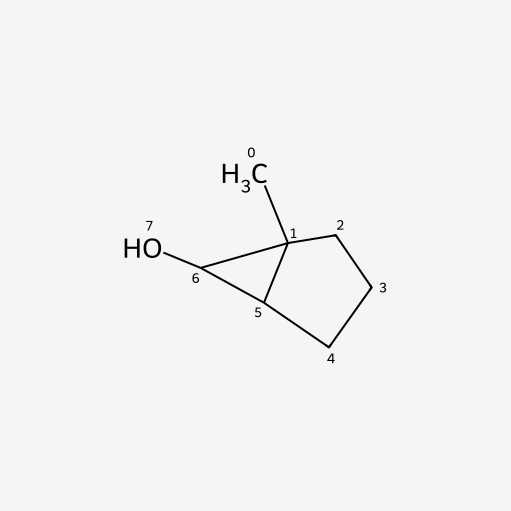 CC12CCCC1C2O